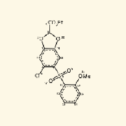 CCOC(=O)C1Oc2cc(Cl)c(S(=O)(=O)c3ccccc3OC)cc2O1